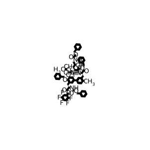 Cc1ccc(-c2ccc(OCc3ccccc3)c(C[C@H](NC(=O)OCc3ccccc3)C(=O)Oc3c(F)c(F)c(F)c(F)c3F)c2)cc1C[C@H](NC(=O)[C@H](C[C@@H](O)CNC(=O)OCc1ccccc1)NC(=O)OC(C)(C)C)C(=O)OCc1ccccc1